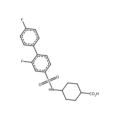 O=C(O)C1CCC(NS(=O)(=O)c2ccc(-c3ccc(F)cc3)c(F)c2)CC1